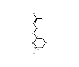 CC(C)=CCCC1=CCC[C@H](C)C1